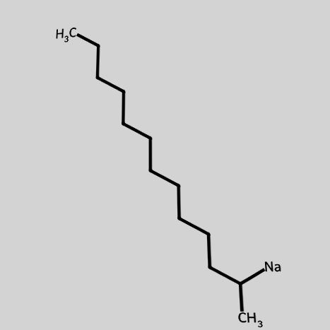 CCCCCCCCCCC[CH](C)[Na]